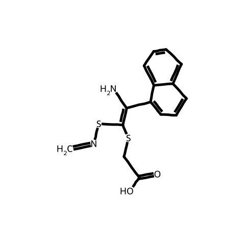 C=NS/C(SCC(=O)O)=C(\N)c1cccc2ccccc12